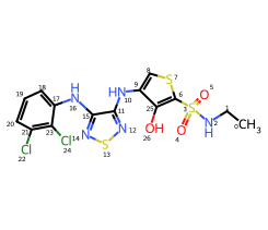 CCNS(=O)(=O)c1scc(Nc2nsnc2Nc2cccc(Cl)c2Cl)c1O